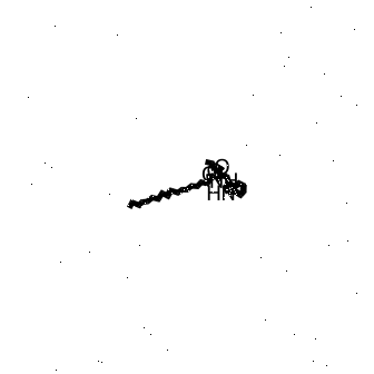 CCCCCCCC/C=C/CCCCCCCC(=O)NC(Cc1c[nH]c2ccccc12)C(=O)OCC